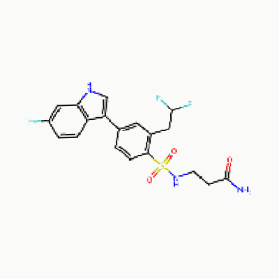 NC(=O)CCNS(=O)(=O)c1ccc(-c2c[nH]c3cc(F)ccc23)cc1CC(F)F